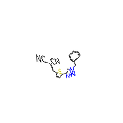 N#CC(C#N)=Cc1ccc(-c2cn(Cc3ccccc3)nn2)s1